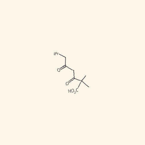 CC(C)CC(=O)CC(=O)C(C)(C)C(=O)O